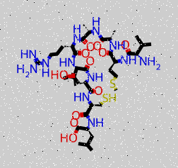 CSCC[C@H](NC(=O)[C@@H](N)C(C)C)C(=O)N[C@@H](C)C(=O)N[C@@H](C)C(=O)N[C@@H](CCCNC(=N)N)C(=O)N[C@H](C(=O)N[C@@H](CC(C)C)C(=O)N[C@@H](CS)C(=O)N[C@@H](CC(C)C)C(=O)O)[C@@H](C)O